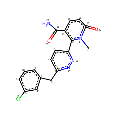 Cn1c(-c2ccc(Cc3cccc(Cl)c3)nn2)c(C(N)=O)ccc1=O